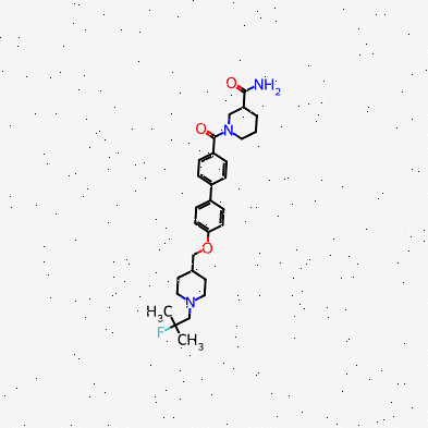 CC(C)(F)CN1CCC(COc2ccc(-c3ccc(C(=O)N4CCCC(C(N)=O)C4)cc3)cc2)CC1